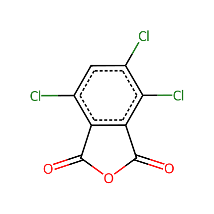 O=C1OC(=O)c2c(Cl)c(Cl)cc(Cl)c21